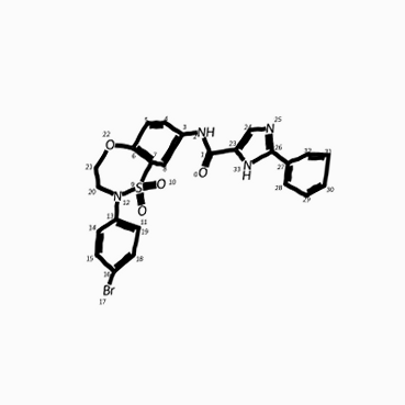 O=C(Nc1ccc2c(c1)S(=O)(=O)N(c1ccc(Br)cc1)CCO2)c1cnc(-c2ccccc2)[nH]1